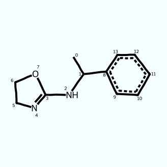 CC(NC1=NCCO1)c1ccccc1